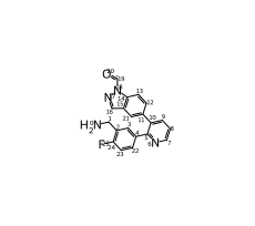 NCc1cc(-c2ncccc2-c2ccc3c(cnn3[C]=O)c2)ccc1F